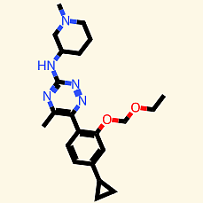 CCOCOc1cc(C2CC2)ccc1-c1nnc(NC2CCCN(C)C2)nc1C